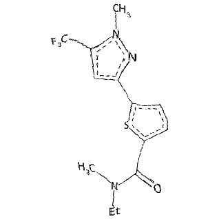 CCN(C)C(=O)c1ccc(-c2cc(C(F)(F)F)n(C)n2)s1